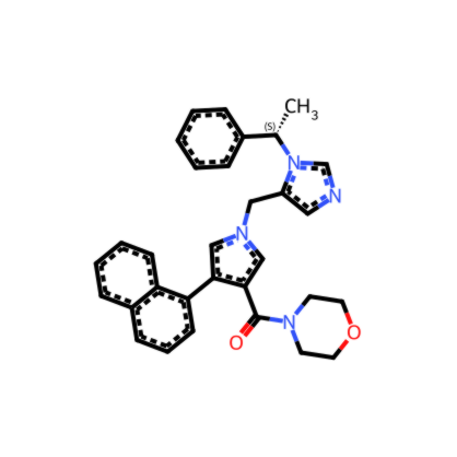 C[C@@H](c1ccccc1)n1cncc1Cn1cc(C(=O)N2CCOCC2)c(-c2cccc3ccccc23)c1